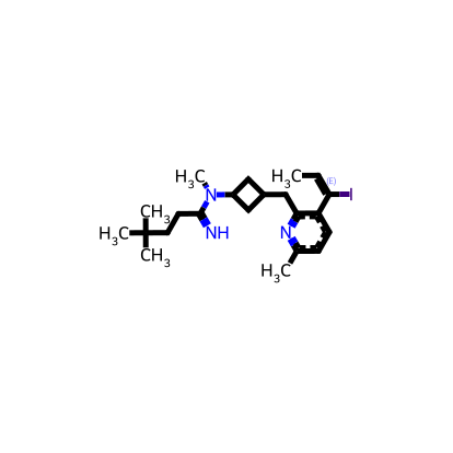 C/C=C(/I)c1ccc(C)nc1CC1CC(N(C)C(=N)CCC(C)(C)C)C1